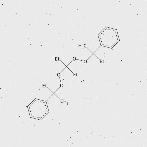 CCC(CC)(OOC(C)(CC)c1ccccc1)OOC(C)(CC)c1ccccc1